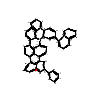 c1ccc(-c2ccc(-c3ccccc3N(c3ccc(-c4cccc(-c5ccccc5)c4)cc3)c3cc(-c4cccc5ccccc45)ccc3-c3ccccc3)cc2)cc1